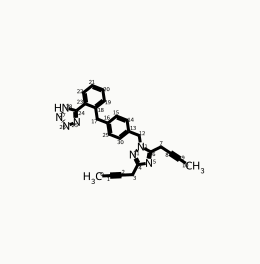 CC#CCc1nc(CC#CC)n(Cc2ccc(Cc3ccccc3-c3nnn[nH]3)cc2)n1